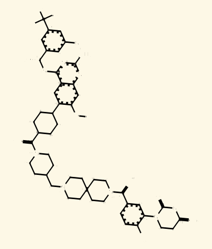 COc1cc2nc(C)nc(N[C@H](C)c3cc(N)cc(C(F)(F)F)c3)c2cc1C1CCC(C(=O)N2CCC(CN3CCC4(CC3)CCN(C(=O)c3ccc(Cl)c(N5CCC(=O)NC5=O)c3)CC4)CC2)CC1